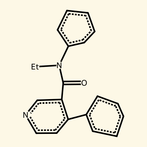 CCN(C(=O)c1cnccc1-c1ccccc1)c1ccccc1